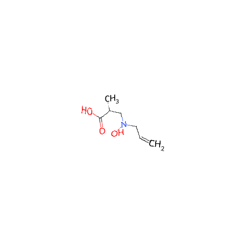 C=CCN(O)CC(C)C(=O)O